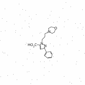 O=C(O)c1cc(-c2ccccc2)nn1CCCN1CCOCC1